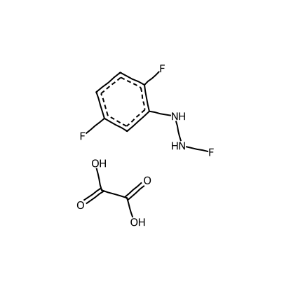 FNNc1cc(F)ccc1F.O=C(O)C(=O)O